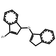 CC(C)C1=C[CH]([Zr][C]2=CCc3ccccc32)c2ccccc21